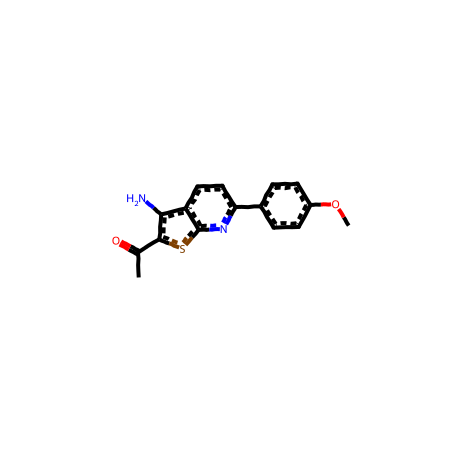 COc1ccc(-c2ccc3c(N)c(C(C)=O)sc3n2)cc1